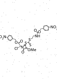 CO[C@H]1C(=O)N(C(Cl)C(=O)OCc2ccc([N+](=O)[O-])cc2)[C@@H]1SC(=S)SCCNC(=O)OCc1ccc([N+](=O)[O-])cc1